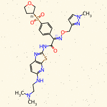 CN(C)CCNc1ccc2nc(NC(=O)/C(=N/OCc3ccn(C)n3)c3ccc(S(=O)(=O)[C@H]4CCOC4)cc3)sc2n1